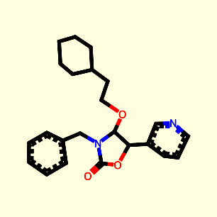 O=C1OC(c2cccnc2)C(OCCC2CCCCC2)N1Cc1ccccc1